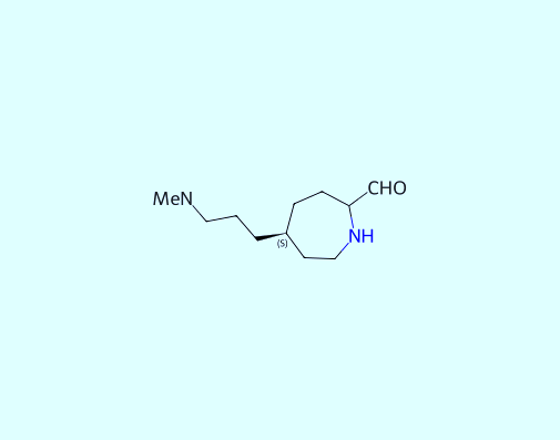 CNCCC[C@@H]1CCNC(C=O)CC1